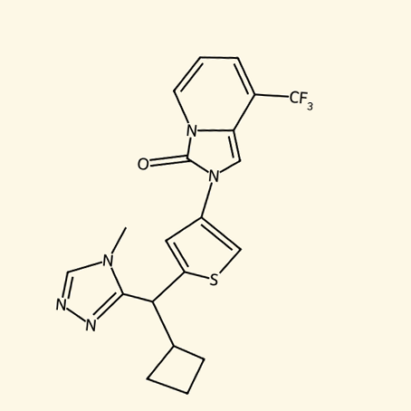 Cn1cnnc1C(c1cc(-n2cc3c(C(F)(F)F)cccn3c2=O)cs1)C1CCC1